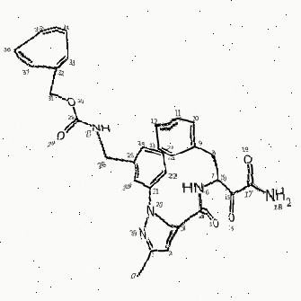 Cc1cc(C(=O)N[C@@H](Cc2ccccc2)C(=O)C(N)=O)n(-c2cccc(CNC(=O)OCc3ccccc3)c2)n1